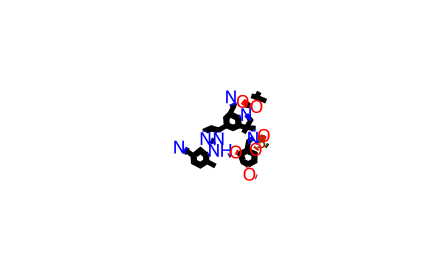 COc1ccc(CN(CC2(C)CN(C(=O)OC(C)(C)C)c3c(C#N)cc(-c4ccnc(Nc5cc(C#N)ccc5C)n4)cc32)S(C)(=O)=O)c(OC)c1